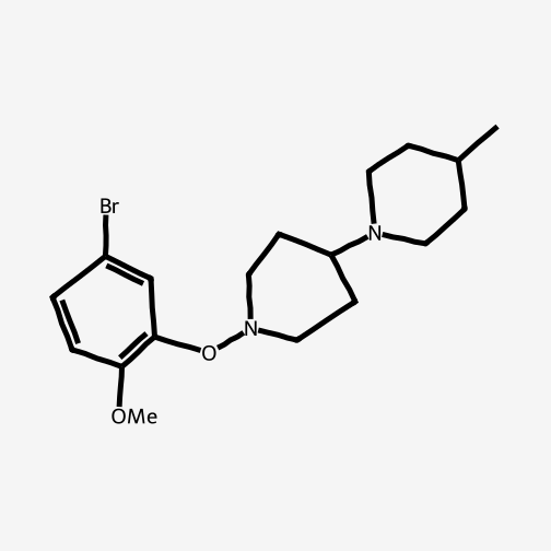 COc1ccc(Br)cc1ON1CCC(N2CCC(C)CC2)CC1